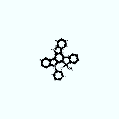 CC1(C)c2ccccc2-c2c1c1c(c3ccccc3n1-c1cccnc1)c1sc3ccccc3c21